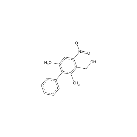 Cc1cc([N+](=O)[O-])c(CO)c(C)c1-c1ccccc1